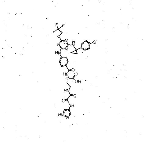 O=C(NCC[C@H](NC(=O)c1ccc(Nc2nc(NC3(c4ccc(Cl)cc4)CC3)nc(OCC(F)(F)F)n2)cc1)C(=O)O)C(=O)Nc1cn[nH]c1